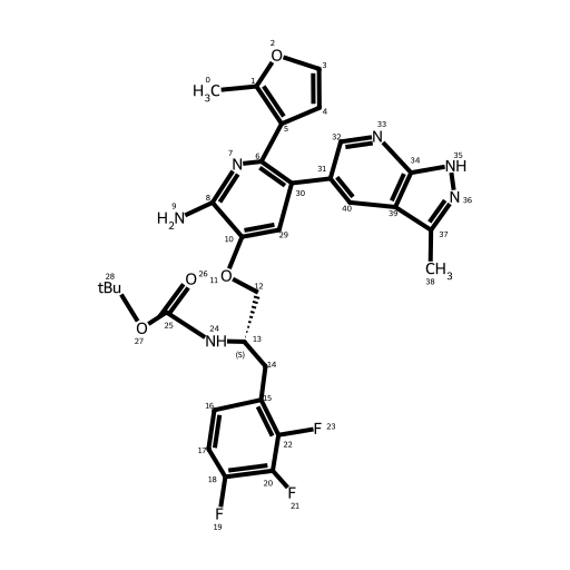 Cc1occc1-c1nc(N)c(OC[C@H](Cc2ccc(F)c(F)c2F)NC(=O)OC(C)(C)C)cc1-c1cnc2[nH]nc(C)c2c1